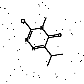 CC(C)c1nnc(Cl)n(C)c1=O